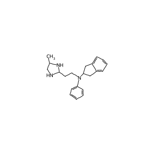 CC1CNC(CCN(c2ccccc2)C2Cc3ccccc3C2)N1